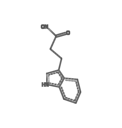 O=NC(=O)CCc1c[nH]c2ccccc12